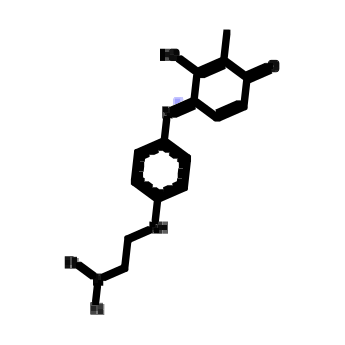 CCN(CC)CCNc1ccc(/N=C2\C=CC(=O)C(C)=C2O)cc1